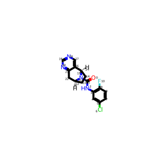 O=C(Nc1cc(Cl)ccc1F)N1[C@H]2CC[C@@H]1c1cncnc1C2